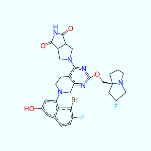 O=C1NC(=O)C2CN(c3nc(OC[C@@]45CCCN4C[C@H](F)C5)nc4c3CCN(c3cc(O)cc5ccc(F)c(Br)c35)C4)CC12